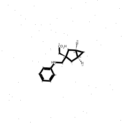 O=C(O)C[C@@]1(CNc2ccccc2)C[C@H]2C[C@H]2C1